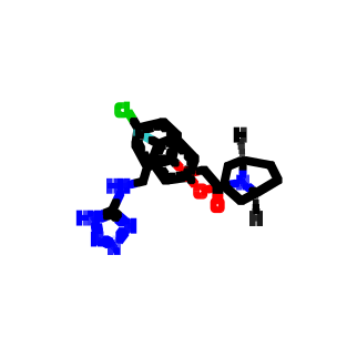 O=C(COc1ccc(Cl)cc1CNc1nnn[nH]1)N1[C@@H]2CC[C@H]1CC(Oc1ccc(F)cc1)C2